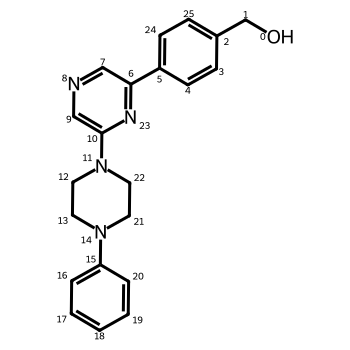 OCc1ccc(-c2cncc(N3CCN(c4ccccc4)CC3)n2)cc1